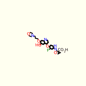 O=C(O)C1(C(=O)Nc2ccc(Oc3ccnc4cc(OCCCN5CCOCC5)c(O)cc34)c(F)c2)CC1